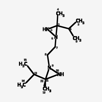 CC(C)C1(C)NN1CCN1N[C@]1(C)C(C)C